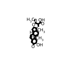 COC(=O)C(C[C@H]1CC[C@H]2[C@@H]3C=CC4=CC(=O)C(O)C[C@]4(C)C3=CC[C@]12C)C(=O)O